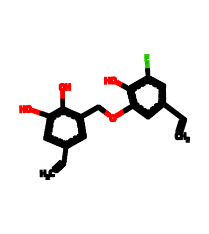 C=Cc1cc(O)c(O)c(COc2cc(C=C)cc(F)c2O)c1